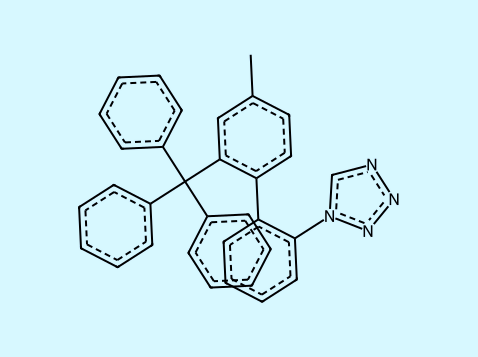 Cc1ccc(-c2ccccc2-n2cnnn2)c(C(c2ccccc2)(c2ccccc2)c2ccccc2)c1